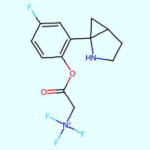 O=C(C[N+](F)(F)F)Oc1ccc(F)cc1C12CC1CCN2